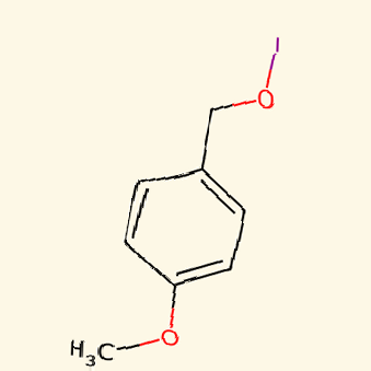 COc1ccc(COI)cc1